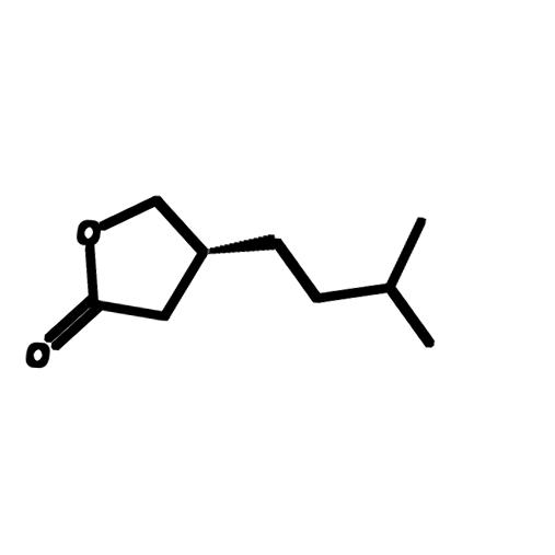 CC(C)CC[C@H]1COC(=O)C1